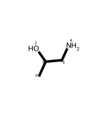 CC(O)[C]N